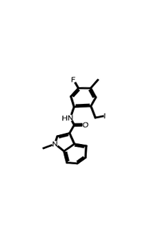 Cc1cc(CI)c(NC(=O)c2cn(C)c3ccccc23)cc1F